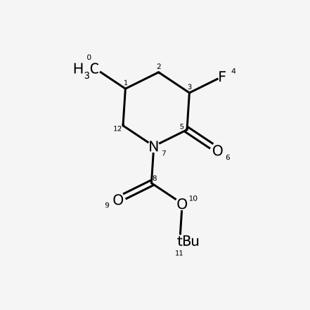 CC1CC(F)C(=O)N(C(=O)OC(C)(C)C)C1